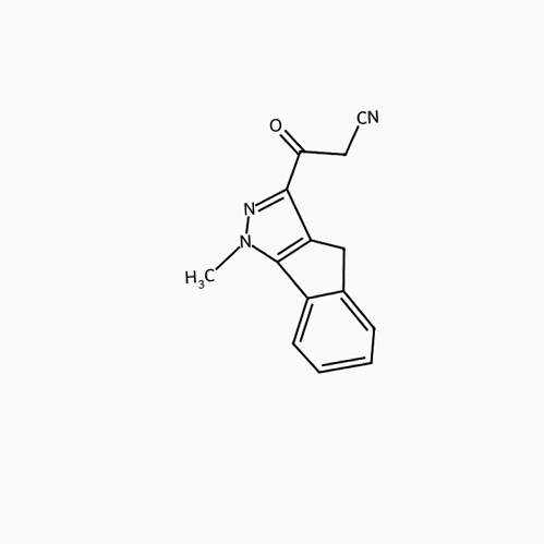 Cn1nc(C(=O)CC#N)c2c1-c1ccccc1C2